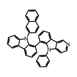 c1ccc(-n2c3ccncc3c3cccc(-c4cccc5c6ccccc6n(-c6ccc7ccccc7c6)c45)c32)cc1